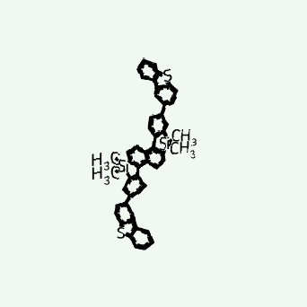 C[Si]1(C)c2cc(-c3ccc4sc5ccccc5c4c3)ccc2-c2c1ccc1c3c(ccc21)[Si](C)(C)c1cc(-c2ccc4sc5ccccc5c4c2)ccc1-3